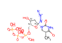 Cc1cn([C@@]2(N=[N+]=[N-])C[C@H](O)[C@@H](COP(=O)(O)OP(=O)(O)OP(=O)(O)O)O2)c(=O)[nH]c1=O